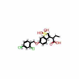 CCC(C(=O)O)C1=CS(O)(O)c2cc(OCc3ccc(Cl)cc3Cl)ccc21